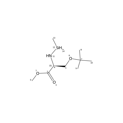 COC(=O)[C@H](COC(C)(C)C)N[SiH](C)C